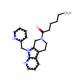 O=C(O)CCCCC(=O)N1CCc2c(n(Cc3ccccn3)c3ncccc23)C1